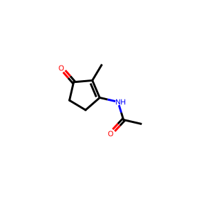 CC(=O)NC1=C(C)C(=O)CC1